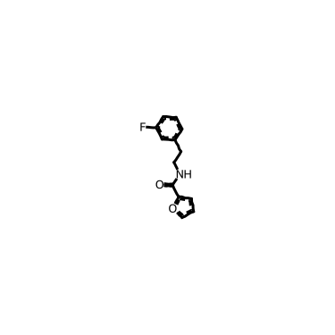 O=C(NCCc1cccc(F)c1)c1ccco1